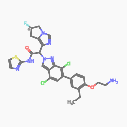 CCc1cc(-c2cc(Cl)c3cn(C(C(=O)Nc4nccs4)c4ncn5c4C[C@@H](F)C5)nc3c2Cl)ccc1OCCN